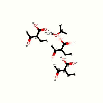 CC(C)[O][Zr+3].CCC(C(C)=O)C(=O)[O-].CCC(C(C)=O)C(=O)[O-].CCC(C(C)=O)C(=O)[O-]